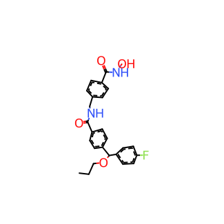 CCCOC(c1ccc(F)cc1)c1ccc(C(=O)NCc2ccc(C(=O)NO)cc2)cc1